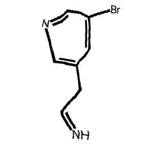 N=CCc1cncc(Br)c1